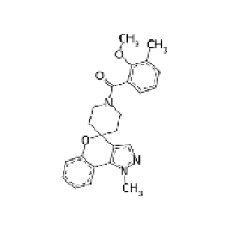 COc1c(C)cccc1C(=O)N1CCC2(CC1)Oc1ccccc1-c1c2cnn1C